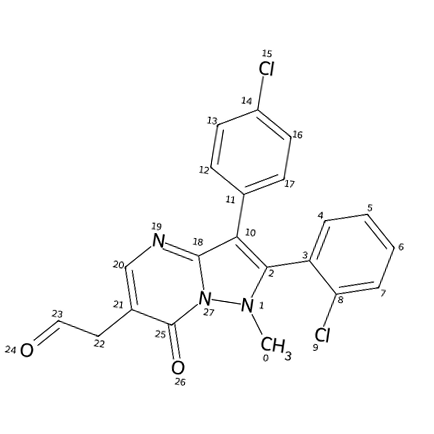 Cn1c(-c2ccccc2Cl)c(-c2ccc(Cl)cc2)c2ncc(CC=O)c(=O)n21